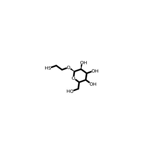 OCC1O[C@@H](OCCS)[C@@H](O)C(O)C1O